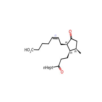 CCCCCCCC(=O)CC[C@@H]1[C@H](C)CC(=O)[C@@H]1C/C=C\CCCC(=O)O